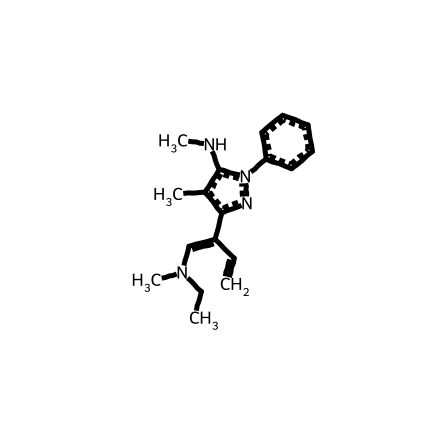 C=C/C(=C\N(C)CC)c1nn(-c2ccccc2)c(NC)c1C